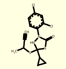 C#CC(C)SC1(C2CC2)NN(c2ccc(Cl)cc2Cl)C(=O)S1